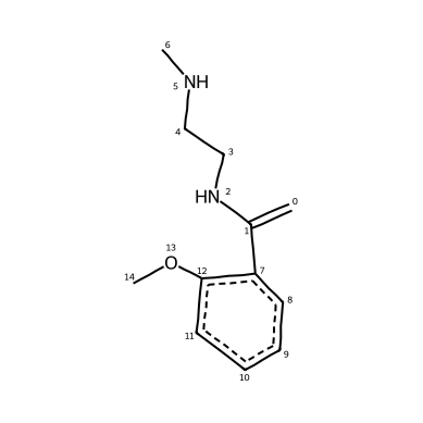 C=C(NCCNC)c1ccccc1OC